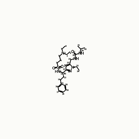 CCN(CC)CCCS(=O)(=O)N[C@H](CCc1ccccc1)c1nc(CNC(=O)NC(C)C)n(CC)n1